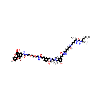 O=C(O)CCC(NC(=O)NC(CCCCNC(=O)CCCCCNC(=O)CCc1ccc(O)c(CN(CCN(CC(=O)O)Cc2cc(CCC(=O)NCCOCCOCCNC(=O)Nc3ccc4c(c3)C(=O)OC43c4ccc(O)cc4OC4C=C(O)C=CC43)ccc2O)CC(=O)O)c1)C(=O)O)C(=O)O